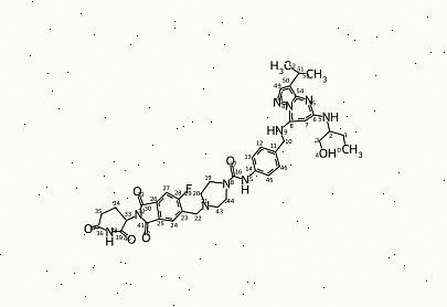 CCC(CO)Nc1cc(NCc2ccc(NC(=O)N3CCN(Cc4cc5c(cc4F)C(=O)N(C4CCC(=O)NC4=O)C5=O)CC3)cc2)n2ncc(C(C)C)c2n1